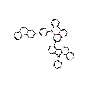 c1ccc(-c2ccccc2N(c2ccc(-c3ccc4c(ccc5ccccc54)c3)cc2)c2cccc(-c3cccc4c3c3ccc5ccccc5c3n4-c3ccccc3)c2)cc1